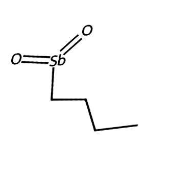 CCC[CH2][Sb](=[O])=[O]